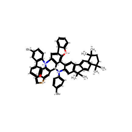 CC(C)(C)c1ccc(N2B3c4cc5sccc5cc4N(c4ccc(C(C)(C)C)cc4-c4ccccc4)c4cc5c(oc6ccccc65)c(c43)-c3cc4c(cc32)C(C)(C)c2cc3c(cc2-4)C(C)(C)CCC3(C)C)cc1